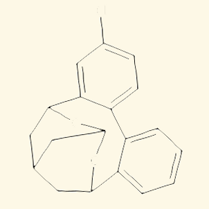 Clc1ccc2c(c1)C1CC3CC(CC(C3)c3ccccc3-2)C1